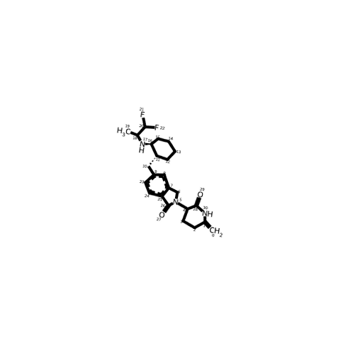 C=C1CCC(N2Cc3cc(C[C@H]4CCCC[C@@H]4NC(C)C(F)F)ccc3C2=O)C(=O)N1